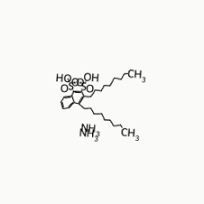 CCCCCCCCCc1c(S(=O)(=O)O)c(S(=O)(=O)O)c2ccccc2c1CCCCCCCCC.N.N